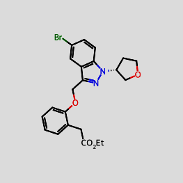 CCOC(=O)Cc1ccccc1OCc1nn([C@@H]2CCOC2)c2ccc(Br)cc12